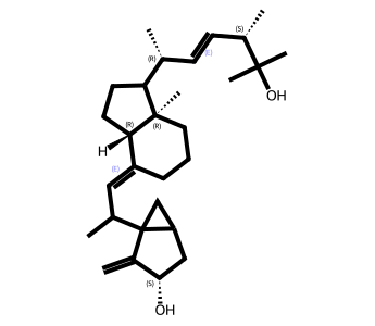 C=C1[C@@H](O)CC2CC12C(C)/C=C1\CCC[C@]2(C)C([C@H](C)/C=C/[C@H](C)C(C)(C)O)CC[C@@H]12